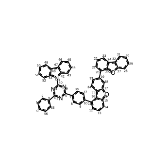 c1ccc(-c2nc(-c3ccc(-c4cccc5oc6cc(-c7cccc8c7oc7ccccc78)ccc6c45)cc3)nc(-n3c4ccccc4c4ccccc43)n2)cc1